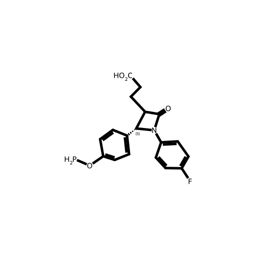 O=C(O)CCC1C(=O)N(c2ccc(F)cc2)[C@@H]1c1ccc(OP)cc1